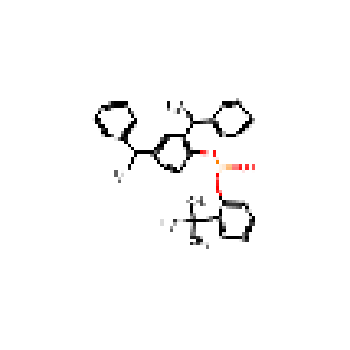 CC(c1ccccc1)c1ccc(OP(O)Oc2ccccc2C(C)(C)C)c(C(C)c2ccccc2)c1